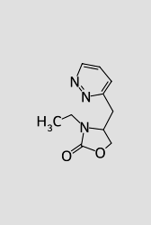 CCN1C(=O)OCC1Cc1cccnn1